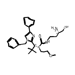 COCCN(C(=O)NCC[C@H](N)CO)[C@@H](c1nc(-c2ccccc2)cn1Cc1ccccc1)C(C)(C)C